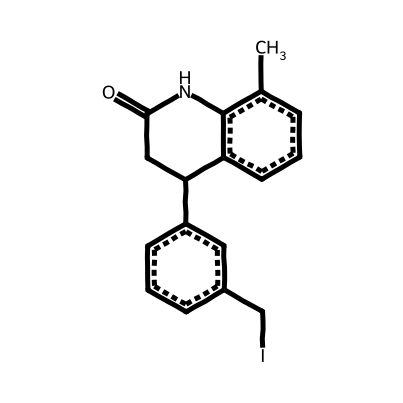 Cc1cccc2c1NC(=O)CC2c1cccc(CI)c1